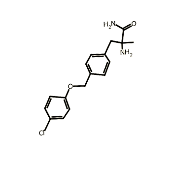 CC(N)(Cc1ccc(COc2ccc(Cl)cc2)cc1)C(N)=O